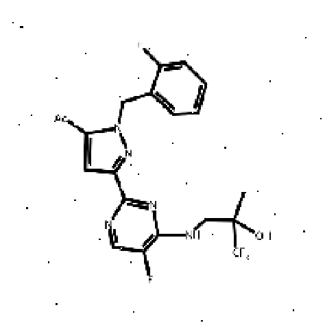 CC(=O)c1cc(-c2ncc(F)c(NCC(C)(O)C(F)(F)F)n2)nn1Cc1ccccc1F